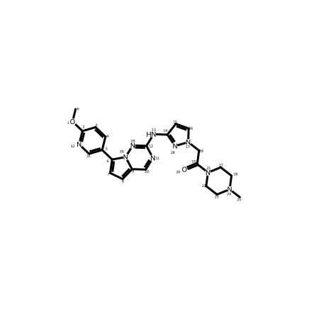 COc1ccc(-c2ccc3cnc(Nc4ccn(CC(=O)N5CCN(C)CC5)n4)nn23)cn1